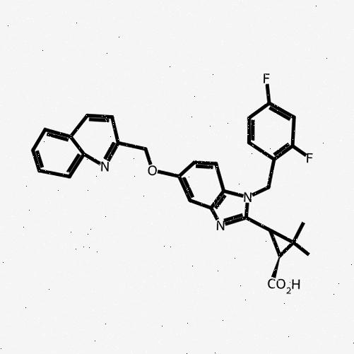 CC1(C)C(c2nc3cc(OCc4ccc5ccccc5n4)ccc3n2Cc2ccc(F)cc2F)[C@@H]1C(=O)O